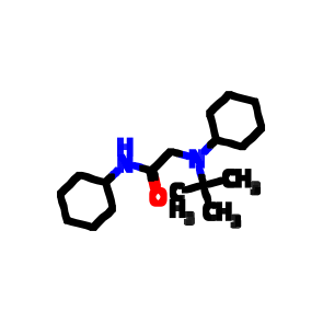 CC(C)(C)N(CC(=O)NC1CCCCC1)C1CCCCC1